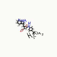 CC(C)c1ccc(NC2=CC(=O)/C(=C/c3c[nH]c4ncccc34)O2)cc1